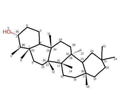 C[C@H]1[C@H](O)CCC2[C@]1(C)CC[C@@]1(C)[C@@]3(C)CC[C@@]4(C)CCC(C)(C)CC4[C@]3(C)CC[C@@]21C